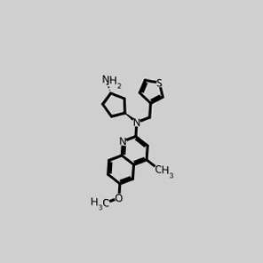 COc1ccc2nc(N(Cc3ccsc3)[C@H]3CC[C@H](N)C3)cc(C)c2c1